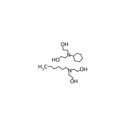 CCCCCCN(CCO)CCO.OCCN(CCO)C1CCCCC1